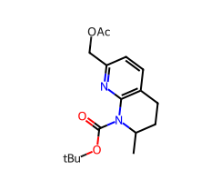 CC(=O)OCc1ccc2c(n1)N(C(=O)OC(C)(C)C)C(C)CC2